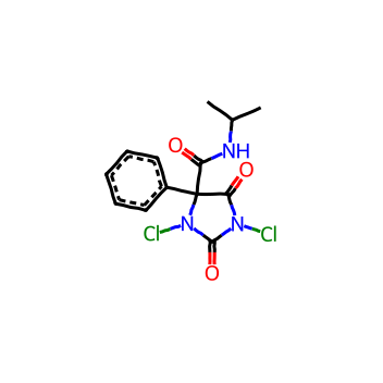 CC(C)NC(=O)C1(c2ccccc2)C(=O)N(Cl)C(=O)N1Cl